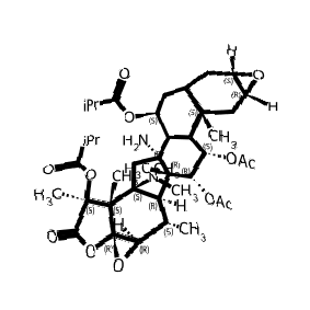 CC(=O)O[C@H]1C2C([C@@H](OC(=O)C(C)C)CC3C[C@@H]4O[C@@H]4C[C@@]32C)[C@]2(N)C[C@]3(N(C)C)[C@H]([C@H](C)[C@H]4O[C@]45OC(=O)[C@@](C)(OC(=O)C(C)C)[C@@]53C)[C@@]2(C)[C@H]1OC(C)=O